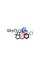 COC(OC)C1(C)CCC(Cc2ccc(Cl)cc2)C1(O)Cn1cncn1